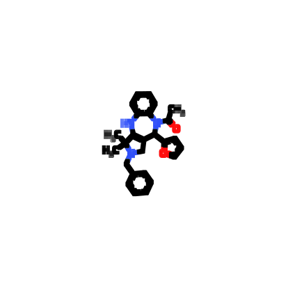 CC(=O)N1c2ccccc2NC2=C(CN(Cc3ccccc3)C2(C)C)C1c1ccco1